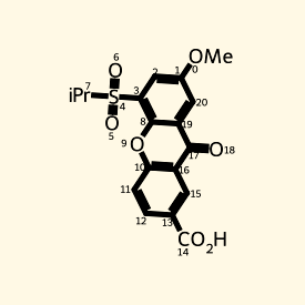 COc1cc(S(=O)(=O)C(C)C)c2oc3ccc(C(=O)O)cc3c(=O)c2c1